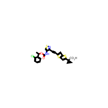 CC(OC(=O)Nc1csnc1C#Cc1cc2sc(C3(C(=O)O)CC3)cc2s1)c1ccccc1Cl